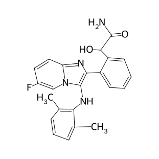 Cc1cccc(C)c1Nc1c(-c2ccccc2C(O)C(N)=O)nc2ccc(F)cn12